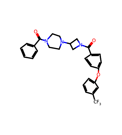 O=C(c1ccccc1)N1CCN(C2CN(C(=O)c3ccc(Oc4cccc(C(F)(F)F)c4)cc3)C2)CC1